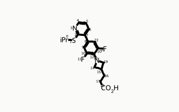 CC(C)Sc1ncccc1-c1cc(F)c(N2CC(CCC(=O)O)C2)c(F)c1